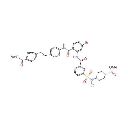 CCN([C@H]1CC[C@H](C(=O)OC)CC1)S(=O)(=O)c1cccc(C(=O)Nc2cc(Br)ccc2C(=O)Nc2ccc(CCc3ccc(C(=O)OC)cc3)cc2)c1